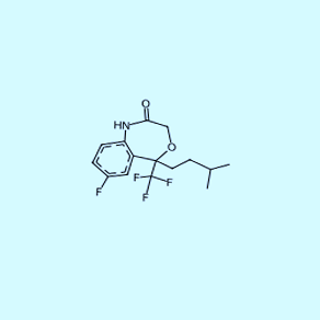 CC(C)CCC1(C(F)(F)F)OCC(=O)Nc2ccc(F)cc21